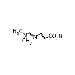 CN(C)C=NC=CC(=O)O